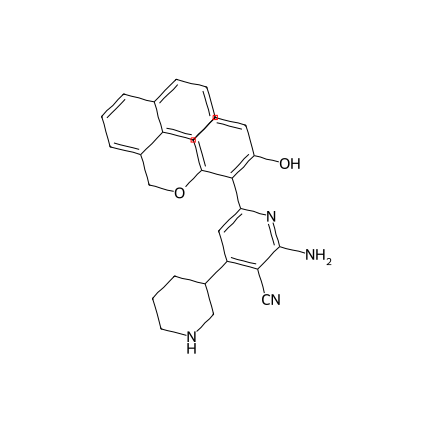 N#Cc1c(C2CCCNC2)cc(-c2c(O)cccc2OCc2cccc3ccccc23)nc1N